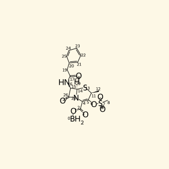 BOC(=O)C1=C(OS(C)(=O)=O)[C@H](C)S[C@@H]2[C@H](NC(=O)Cc3ccccc3)C(=O)N12